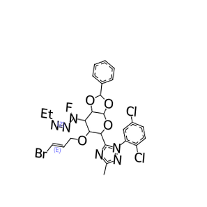 CC/N=N\N(F)C1C2OC(c3ccccc3)OC2OC(c2nc(C)nn2-c2cc(Cl)ccc2Cl)C1OC/C=C/Br